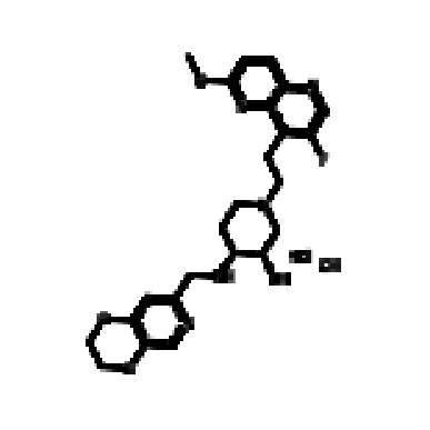 COc1ccc2ncc(F)c(CCN3CC[C@H](NCc4cc5c(cn4)OCCO5)[C@H](O)C3)c2n1.Cl.Cl